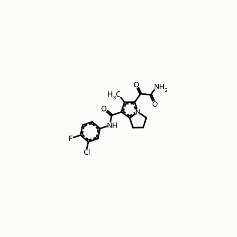 Cc1c(C(=O)Nc2ccc(F)c(Cl)c2)c2n(c1C(=O)C(N)=O)CCC2